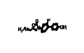 O=C1O[C@H](C[AsH2])CN1c1ccc(-c2ccc(O)nc2)c(F)c1